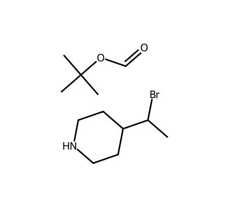 CC(Br)C1CCNCC1.CC(C)(C)OC=O